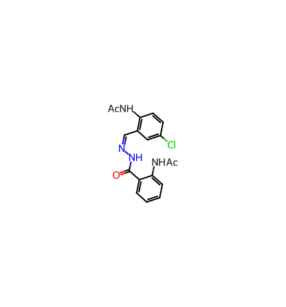 CC(=O)Nc1ccc(Cl)cc1/C=N\NC(=O)c1ccccc1NC(C)=O